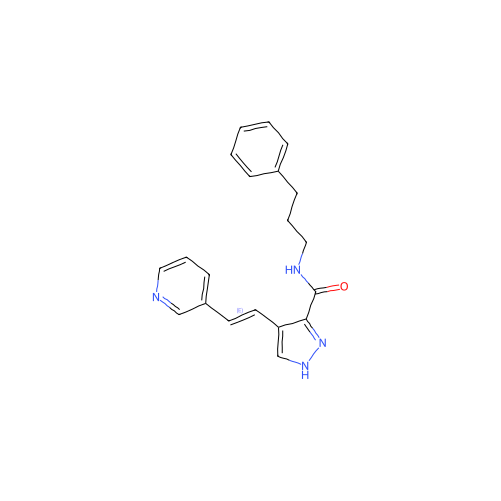 O=C(NCCCc1ccccc1)c1n[nH]cc1/C=C/c1cccnc1